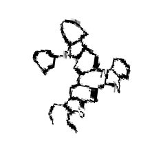 C=Cc1sc2cc3c(cc2c1/C=C\C)c1cc2c(cc1n1c4ccccc4nc31)c1ccccc1n2-c1ccccc1